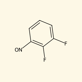 O=Nc1cccc(F)c1F